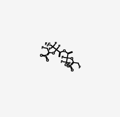 C=C(OC(=C)C(F)(OC(CF)=S(=O)=O)C(F)(F)C(F)(F)F)C(F)(OC(CF)=S(=O)=O)C(F)(F)C(F)(F)F